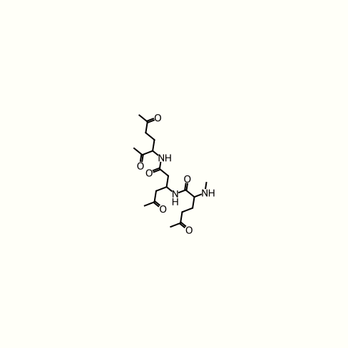 CNC(CCC(C)=O)C(=O)NC(CC(C)=O)CC(=O)NC(CCC(C)=O)C(C)=O